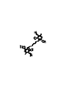 Cc1cc(O)n(CCCCCCn2c(O)cc(C)c(C#N)c2=O)c(=O)c1C#N